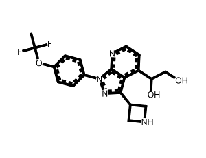 CC(F)(F)Oc1ccc(-n2nc(C3CNC3)c3c(C(O)CO)ccnc32)cc1